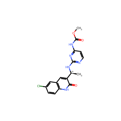 COC(=O)Nc1ccnc(N[C@@H](C)c2cc3cc(Cl)ccc3[nH]c2=O)n1